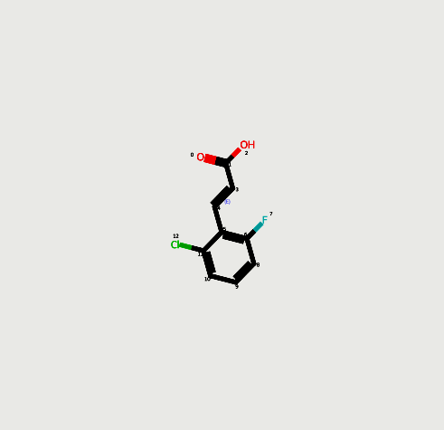 O=C(O)/C=C/c1c(F)cccc1Cl